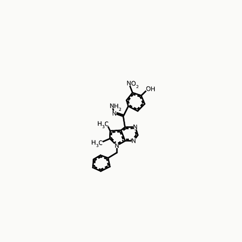 Cc1c(C)n(Cc2ccccc2)c2ncnc(C(=NN)c3ccc(O)c([N+](=O)[O-])c3)c12